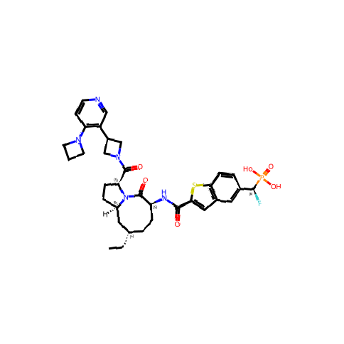 CC[C@H]1CC[C@H](NC(=O)c2cc3cc([C@H](F)P(=O)(O)O)ccc3s2)C(=O)N2[C@H](CC[C@H]2C(=O)N2CC(c3cnccc3N3CCC3)C2)C1